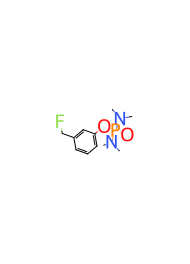 CN(C)P(=O)(Oc1cccc(CF)c1)N(C)C